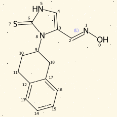 O/N=C/c1c[nH]c(=S)n1C1CCc2ccccc2C1